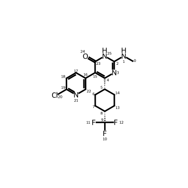 CNc1nc([C@H]2CC[C@@H](C(F)(F)F)CC2)c(-c2ccc(Cl)nc2)c(=O)[nH]1